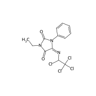 CCN1C(=O)C(=NC(Cl)C(Cl)(Cl)Cl)N(c2ccccc2)C1=O